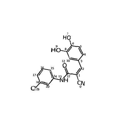 N#CC(=Cc1ccc(O)c(O)c1)C(=O)Nc1cccc(Cl)c1